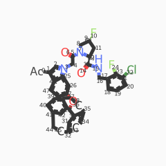 CC(=O)c1cn(CC(=O)N2C[C@H](F)C[C@H]2C(=O)NCc2cccc(Cl)c2F)c2cc(OCc3cc4ccc3CCc3ccc(cc3)CC4)ccc12